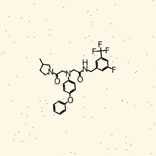 CC1CCN(C(=O)CN(CC(=O)NCc2cc(F)cc(C(F)(F)F)c2)c2ccc(Oc3ccccc3)cc2)C1